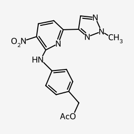 CC(=O)OCc1ccc(Nc2nc(-c3cnn(C)n3)ccc2[N+](=O)[O-])cc1